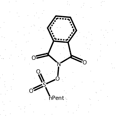 CCCCCS(=O)(=O)ON1C(=O)c2ccccc2C1=O